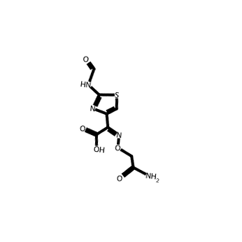 NC(=O)CON=C(C(=O)O)c1csc(NC=O)n1